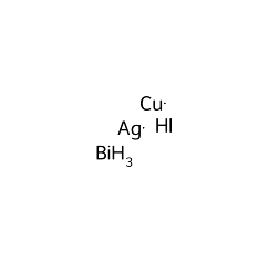 I.[Ag].[BiH3].[Cu]